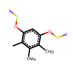 COc1c(C)c(OSI)cc(OSI)c1C=O